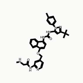 CNCC(=O)Nc1cc(COc2ccc(NC(=O)Nc3cc(C(C)(C)C)nn3-c3ccc(C)cc3)c3ccccc23)ccn1